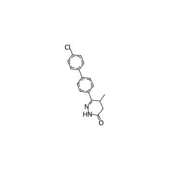 CC1CC(=O)NN=C1c1ccc(-c2ccc(Cl)cc2)cc1